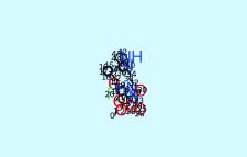 CCOC(=O)C[C@H](c1ccc(OCc2ccccc2)c(F)c1)N(CC(OC)OC)C(=O)NCCCc1ccc2c(n1)NCCC2